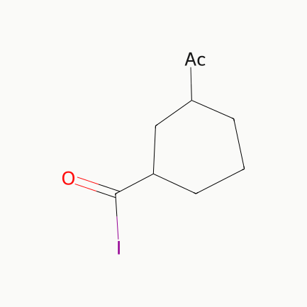 CC(=O)C1CCCC(C(=O)I)C1